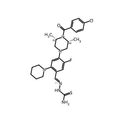 C[C@@H]1CN(c2cc(N3CCCCC3)c(/C=N/NC(N)=S)cc2F)C[C@H](C)N1C(=O)c1ccc(Cl)cc1